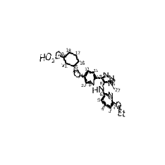 CCOc1cccc(Nc2c(-c3ccc(O[C@H]4CCC[C@H](C(=O)O)C4)cn3)nnn2C)n1